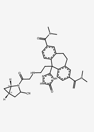 C=C(c1ccc2c(c1)CCc1cc(C(=O)N(C)C)ccc1C2(CCNCC(=O)N1C(C#N)C[C@@H]2C[C@@H]21)c1n[nH]c(=O)[nH]1)N(C)C